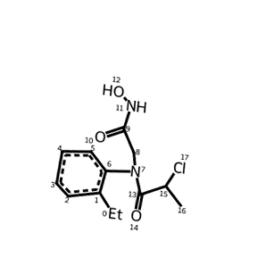 CCc1ccccc1N(CC(=O)NO)C(=O)C(C)Cl